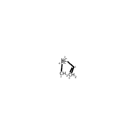 C=CC#N.CC(C)=O